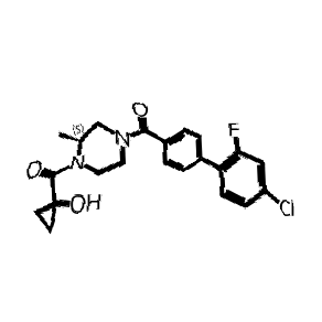 C[C@H]1CN(C(=O)c2ccc(-c3ccc(Cl)cc3F)cc2)CCN1C(=O)C1(O)CC1